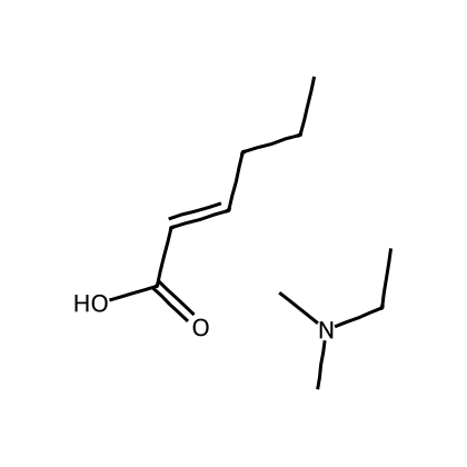 CCCC=CC(=O)O.CCN(C)C